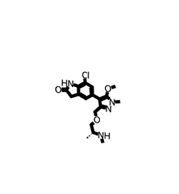 CN[C@H](C)COCc1nn(C)c(OC)c1-c1cc(Cl)c2c(c1)CC(=O)N2